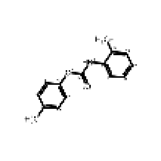 [CH2]c1ccc(OC(=O)Nc2ccccc2C)cc1